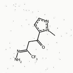 Cn1nccc1C(=O)C/C(=N/N)C(F)(F)F